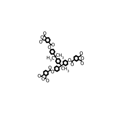 CC(C)(c1ccc(OC(=O)c2ccc3c(c2)C(=O)OC3=O)cc1)c1ccc(C(C)(c2ccc(OC(=O)c3ccc4c(c3)C(=O)OC4=O)cc2)c2ccc(OC(=O)c3ccc4c(c3)C(=O)OC4=O)cc2)cc1